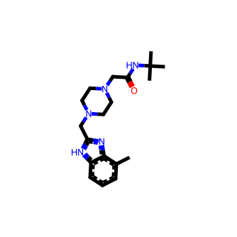 Cc1cccc2[nH]c(CN3CCN(CC(=O)NC(C)(C)C)CC3)nc12